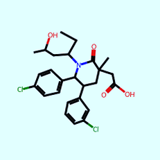 CCC(CC(C)O)N1C(=O)C(C)(CC(=O)O)CC(c2cccc(Cl)c2)C1c1ccc(Cl)cc1